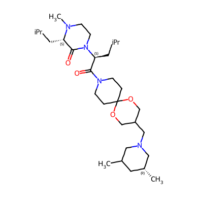 CC(C)C[C@H]1C(=O)N([C@@H](CC(C)C)C(=O)N2CCC3(CC2)OCC(CN2CC(C)C[C@@H](C)C2)CO3)CCN1C